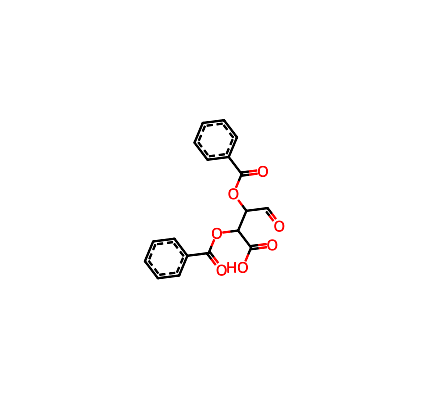 O=CC(OC(=O)c1ccccc1)C(OC(=O)c1ccccc1)C(=O)O